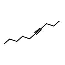 [CH2]CCC#CCCCCC